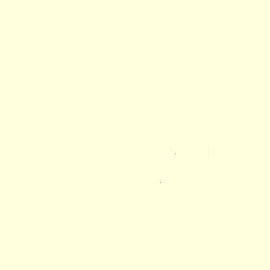 COc1ccc2c3c(n(C)c(=O)c2c1)-c1cc2c(cc1C3O)OCO2